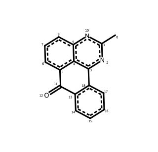 Cc1nc2c3c(cccc3n1)C(=O)c1ccccc1-2